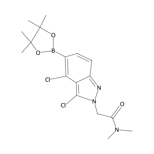 CN(C)C(=O)Cn1nc2ccc(B3OC(C)(C)C(C)(C)O3)c(Cl)c2c1Cl